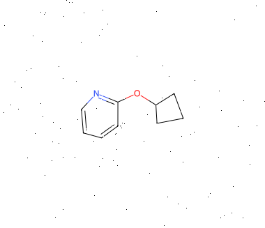 [c]1cccnc1OC1CCC1